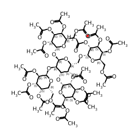 CC(=O)OC[C@H]1O[C@H](OC[C@H]2O[C@H](O[C@H]3O[C@H](COC(C)=O)[C@H](OC(C)=O)[C@H](OC(C)=O)[C@H]3OC(C)=O)[C@H](O[C@H]3O[C@H](COC(C)=O)[C@H](OC(C)=O)[C@H](OC(C)=O)[C@H]3OC(C)=O)[C@@H](O[C@H]3O[C@H](COC(C)=O)[C@H](OC(C)=O)[C@H](OC(C)=O)[C@H]3OC(C)=O)[C@H]2O)[C@H](OC(C)=O)[C@@H](OC(C)=O)[C@H]1OC(C)=O